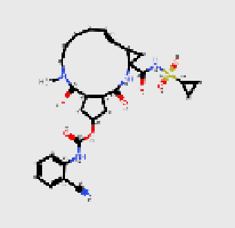 CN1CCCC/C=C/C2CC2(C(=O)NS(=O)(=O)C2CC2)NC(=O)C2CC(OC(=O)Nc3ccccc3C#N)CC2C1=O